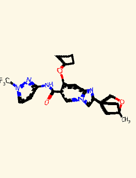 CC12CC(c3cn4cc(C(=O)Nc5ccn(C(F)(F)F)n5)c(OC5CCC5)cc4n3)(CO1)C2